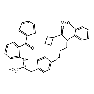 COc1ccccc1N(CCOc1ccc(C[C@H](Nc2ccccc2C(=O)c2ccccc2)C(=O)O)cc1)C(=O)C1CCC1